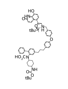 CC(C)(C)OC(=O)NC1CCC(N(C(=O)O)c2cc(CCCc3ccc(Oc4ccc(CNC[C@@H](O[Si](C)(C)C(C)(C)C)c5ccc(O)c6[nH]c(=O)ccc56)cc4)cc3)ccc2-c2ccccc2)CC1